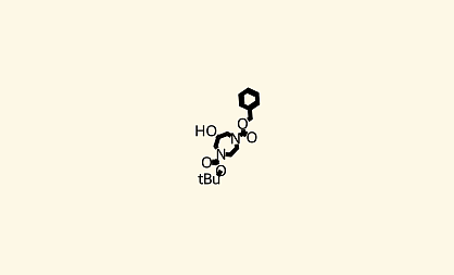 CC(C)(C)OC(=O)N1CCN(C(=O)OCc2ccccc2)CC(O)C1